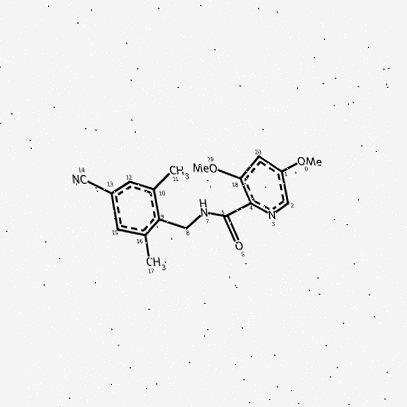 COc1cnc(C(=O)NCc2c(C)cc(C#N)cc2C)c(OC)c1